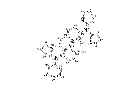 c1ccc(N(c2cccs2)c2ccc3ccc4c(N(c5ccccn5)c5cccs5)ccc5ccc2c3c54)nc1